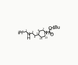 CC(C)CNCCC1CCN(C(=O)OC(C)(C)C)CC1